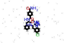 NC(=O)c1ccc(C(=O)NC(Cc2ccccc2)C(=O)NCCc2cc(Cl)ccc2-n2cnnn2)cc1